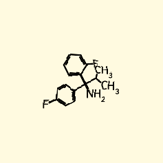 CC(C)C(N)(c1ccc(F)cc1)c1ccccc1F